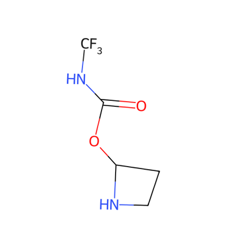 O=C(NC(F)(F)F)OC1CCN1